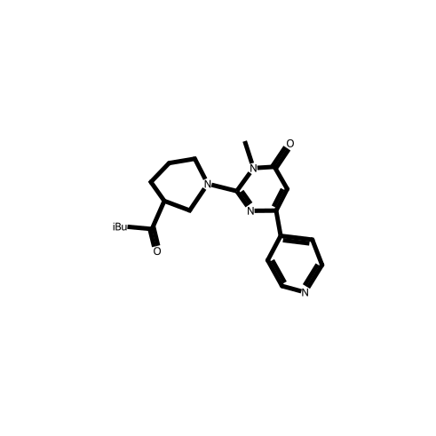 CCC(C)C(=O)C1CCCN(c2nc(-c3ccncc3)cc(=O)n2C)C1